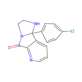 O=C1c2ncccc2C2(c3ccc(Cl)cc3)NCCN12